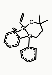 C=C[Si]1(C=C)OC(C)(C)CC[Si]1(c1ccccc1)c1ccccc1